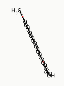 CCCCCCCCCCCCCOCCOCCOCCOCCOCCOCCOCCOCCOCCOCCOCCOCCOCCOCCOCCOCCOCCOCCOC(=O)CCC(=O)O